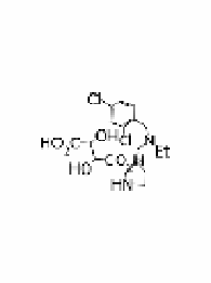 CCN(Cc1ccc(Cl)cc1Cl)C[C@@H]1CCNC1.O=C(O)C(O)C(O)C(=O)O